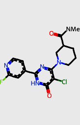 CNC(=O)C1CCCN(c2nc(-c3ccnc(F)c3)[nH]c(=O)c2Cl)C1